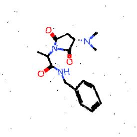 CC(C(=O)NCc1ccccc1)N1C(=O)C[C@H](N(C)C)C1=O